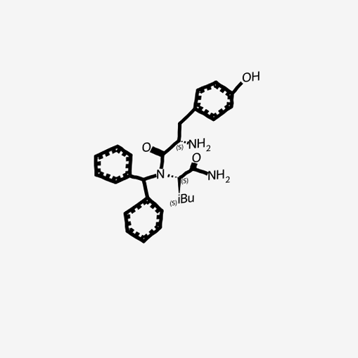 CC[C@H](C)[C@@H](C(N)=O)N(C(=O)[C@@H](N)Cc1ccc(O)cc1)C(c1ccccc1)c1ccccc1